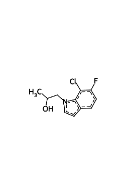 CC(O)Cn1ccc2ccc(F)c(Cl)c21